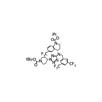 CC(C)OC(=O)N1c2ccc(C(F)(F)F)cc2[C@@H](N(Cc2cc(C(F)(F)F)cc(C(F)(F)F)c2)c2nnn(C3CCN(C(=O)OC(C)(C)C)CC3)n2)C[C@H]1C